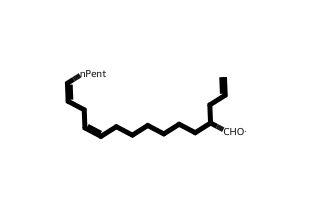 C=CCC([C]=O)CCCCCC/C=C\C/C=C\CCCCC